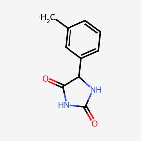 [CH2]c1cccc(C2NC(=O)NC2=O)c1